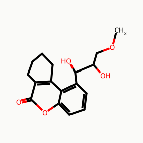 COCC(O)C(O)c1cccc2oc(=O)c3c(c12)CCCC3